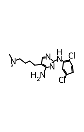 CN(C)CCCCc1cnc(Nc2cc(Cl)ccc2Cl)nc1N